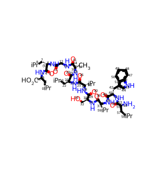 CC(C)C[C@H](NC(=O)[C@H](CC(C)C)NC(=O)CNC(=O)[C@H](C)NC(=O)[C@H](CC(C)C)NC(=O)[C@@H](NC(=O)[C@H](CO)NC(=O)[C@@H](NC(=O)[C@H](Cc1c[nH]c2ccccc12)NC(=O)[C@@H](N)CC(C)C)C(C)C)C(C)C)C(=O)O